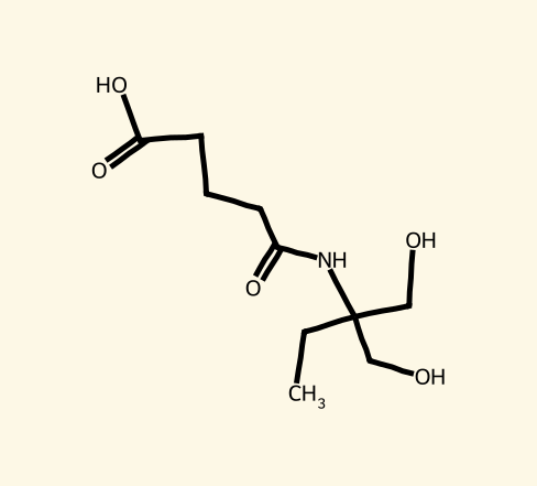 CCC(CO)(CO)NC(=O)CCCC(=O)O